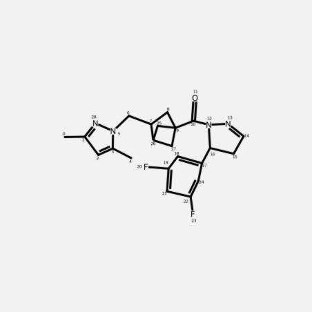 Cc1cc(C)n(CC2CC3(C(=O)N4N=CCC4c4cc(F)cc(F)c4)CC2C3)n1